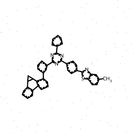 Cc1ccc2sc(-c3ccc(-c4nc(-c5ccccc5)nc(-c5cccc(-c6cccc7c6C6CC6c6ccccc6-7)c5)n4)cc3)nc2c1